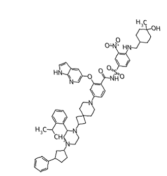 CC(C)c1ccccc1C1CN(C2CCC(c3ccccc3)C2)CCN1C1CC2(CCN(c3ccc(C(=O)NS(=O)(=O)c4ccc(NCC5CCC(C)(O)CC5)c([N+](=O)[O-])c4)c(Oc4cnc5[nH]ccc5c4)c3)CC2)C1